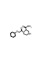 NC(=O)C1CNCCN1C(=O)COc1ccccc1